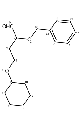 O=CC(CCOC1CCCCC1)OCc1ccccc1